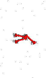 CCO[Si](CCCSSCCCCCCSSCCC[Si](OCC)(OCC)O[Si](CCCSSCCCCCCSSCCC[Si](OCC)(OCC)OCC)(OCC)O[Si](CCCSSCCCCCCSSCCC[Si](OCC)(OCC)OCC)(OCC)OCC)(OCC)OCC